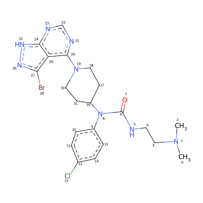 CN(C)CCNC(=O)N(c1ccc(Cl)cc1)C1CCN(c2ncnc3[nH]nc(Br)c23)CC1